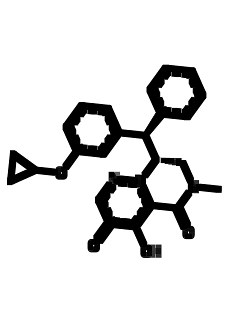 CN1C[C@@H]([C@H](c2ccccc2)c2cccc(OC3CC3)c2)n2ncc(=O)c(O)c2C1=O